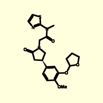 COc1ccc([C@@H]2CC(=O)N(CC(=O)N(C)c3nccs3)C2)cc1OC1CCCO1